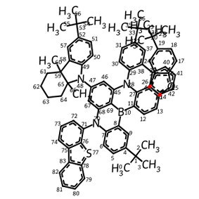 CC(C)(C)c1ccc2c(c1)B1c3ccc4oc5ccc(C(C)(C)C)cc5c4c3N(c3ccc(C(C)(C)C)cc3-c3ccccc3)c3cc(N4c5ccc(C(C)(C)C)cc5C5(C)CCCCC45C)cc(c31)N2c1cccc2c1sc1ccccc12